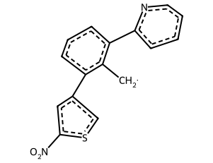 [CH2]c1c(-c2csc([N+](=O)[O-])c2)cccc1-c1ccccn1